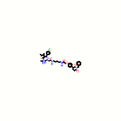 Cc1sc2c(c1C)C(c1ccc(Cl)cc1)=N[C@@H](CC(=O)NCCCCCNC(=O)COc1ccc(C3CCC(=O)N(Cc4ccccc4)C3=O)cc1)c1nnc(C)n1-2